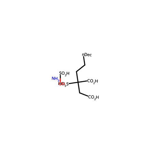 CCCCCCCCCCCCC(CC(=O)O)(C(=O)O)S(=O)(=O)O.N.O=S(=O)(O)O